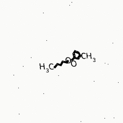 CCCCCCOC(=O)c1cccc(C)c1